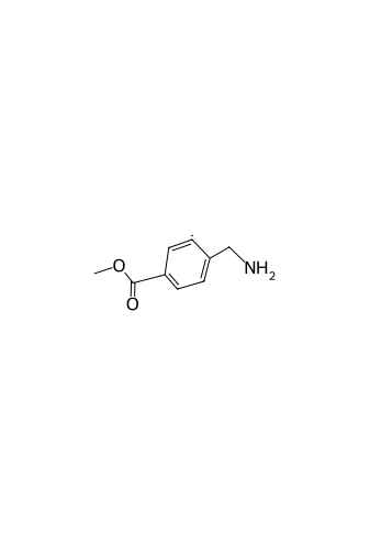 COC(=O)c1c[c]c(CN)cc1